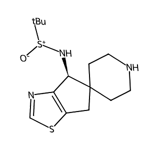 CC(C)(C)[S+]([O-])N[C@@H]1c2ncsc2CC12CCNCC2